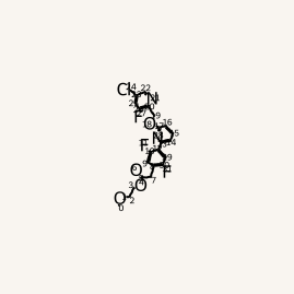 COCCOC(=O)Cc1cc(F)c(-c2cccc(OCc3ncc(Cl)cc3F)n2)cc1F